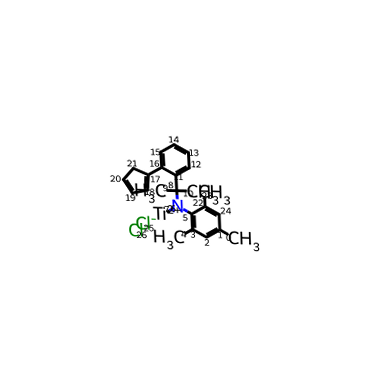 Cc1cc(C)c([N]([Ti+2])C(C)(C)c2ccccc2C2=CC=CC2)c(C)c1.[Cl-].[Cl-]